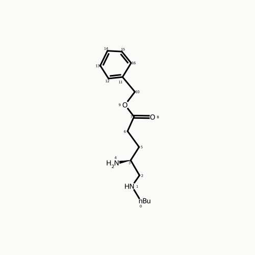 CCCCNC[C@@H](N)CCC(=O)OCc1ccccc1